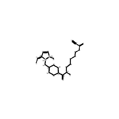 C#CC(=C)CCCCCCC(C)C(=C)C1CCC(CN2/C(=C\C)C=CN2C)CC1